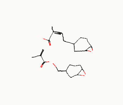 C=C(C)C(=O)OCC1CCC2OC2C1.CC(=CCC1CCC2OC2C1)C(=O)O